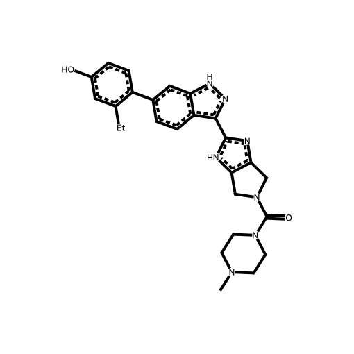 CCc1cc(O)ccc1-c1ccc2c(-c3nc4c([nH]3)CN(C(=O)N3CCN(C)CC3)C4)n[nH]c2c1